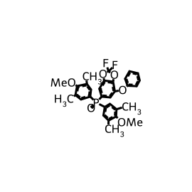 COc1c(C)cc(P(=O)(c2cc(C)c(OC)c(C)c2)c2cc(Oc3ccccc3)c3c(c2)OC(F)(F)O3)cc1C